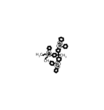 C=CCN(CC=C)P(=O)(Oc1ccccc1)Oc1ccc(C(C)(c2ccc(OP(=O)(Oc3ccccc3)Oc3ccccc3)cc2)c2ccc(OP(=O)(Oc3ccccc3)Oc3ccccc3)cc2)cc1